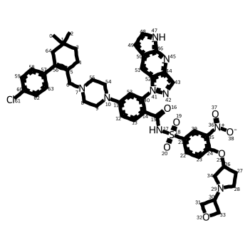 CC1(C)CCC(CN2CCN(c3ccc(C(=O)NS(=O)(=O)c4ccc(OC5CCN(C6COC6)C5)c([N+](=O)[O-])c4)c(-n4ncc5nc6[nH]ccc6cc54)c3)CC2)=C(c2ccc(Cl)cc2)C1